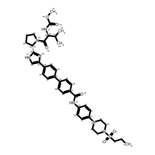 CCCS(=O)(=O)N1CCN(c2ccc(NC(=O)c3ccc(-c4ccc(-c5c[nH]c([C@@H]6CCCN6C(=O)[C@@H](NC(=O)OC)C(C)C)n5)cc4)cc3)cc2)CC1